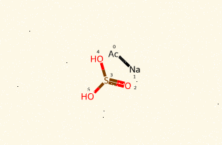 C[C](=O)[Na].O=S(O)O